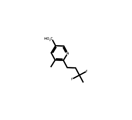 Cc1cc(C(=O)O)cnc1CCC(C)(F)F